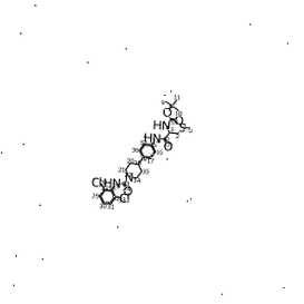 CSCC(NC(=O)OC(C)(C)C)C(=O)Nc1ccc(C2CCN(C(=O)Nc3c(Cl)cccc3Cl)CC2)cc1